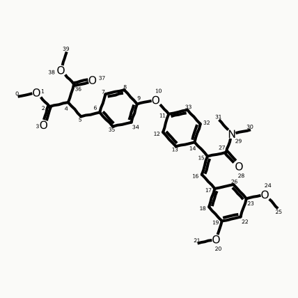 COC(=O)C(Cc1ccc(Oc2ccc(C(=Cc3cc(OC)cc(OC)c3)C(=O)N(C)C)cc2)cc1)C(=O)OC